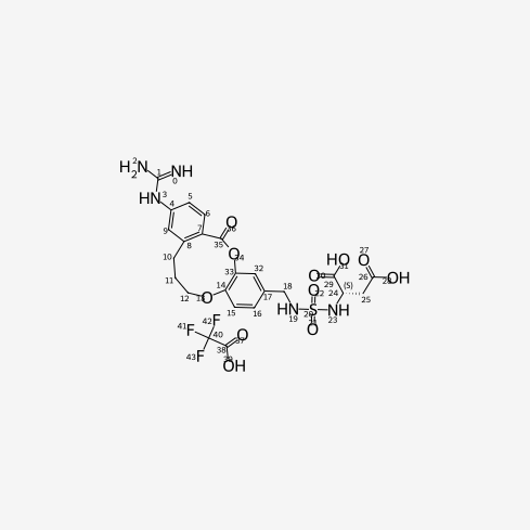 N=C(N)Nc1ccc2c(c1)CCCOc1ccc(CNS(=O)(=O)N[C@@H](CC(=O)O)C(=O)O)cc1OC2=O.O=C(O)C(F)(F)F